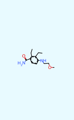 CCc1c(NCCOC)ccc(C(N)=O)c1CC